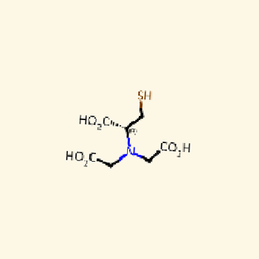 O=C(O)CN(CC(=O)O)[C@@H](CS)C(=O)O